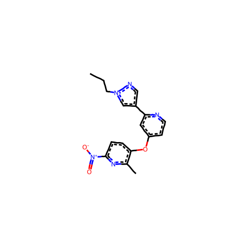 CCCn1cc(-c2cc(Oc3ccc([N+](=O)[O-])nc3C)ccn2)cn1